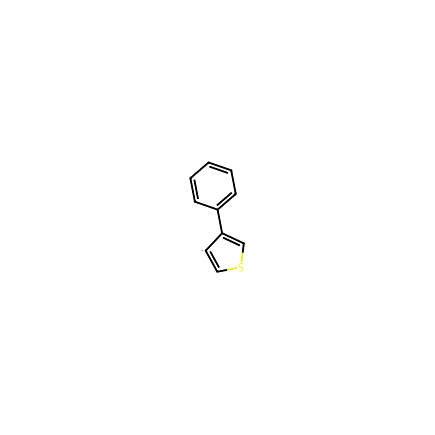 [c]1cscc1-c1ccccc1